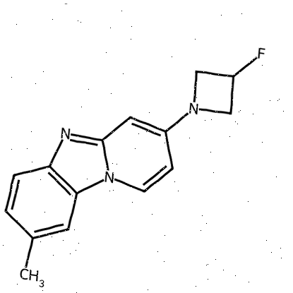 Cc1ccc2nc3cc(N4CC(F)C4)ccn3c2c1